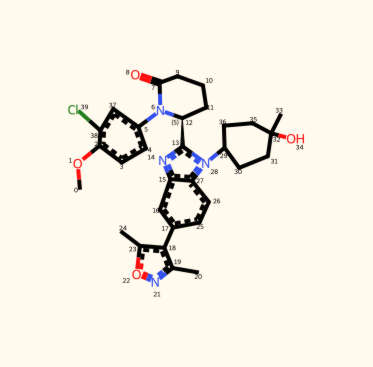 COc1ccc(N2C(=O)CCC[C@H]2c2nc3cc(-c4c(C)noc4C)ccc3n2C2CCC(C)(O)CC2)cc1Cl